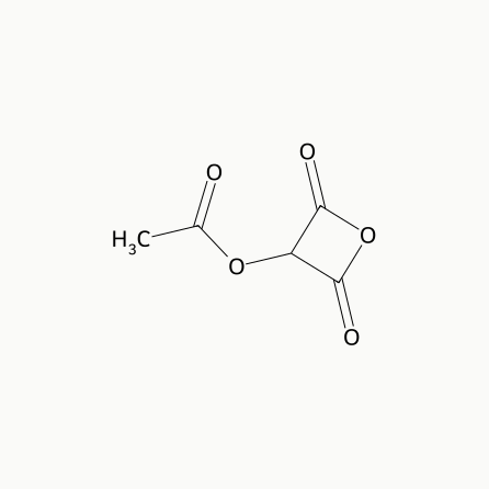 CC(=O)OC1C(=O)OC1=O